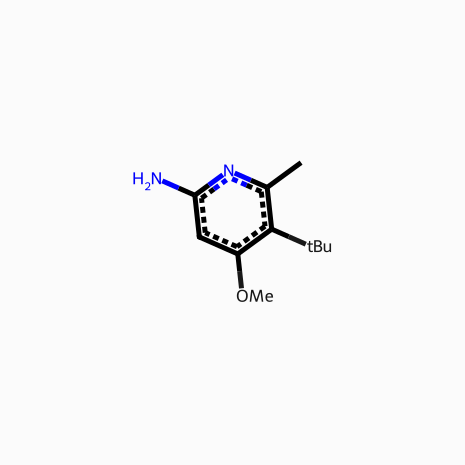 COc1cc(N)nc(C)c1C(C)(C)C